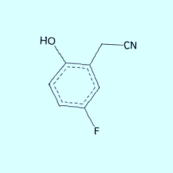 N#CCc1cc(F)ccc1O